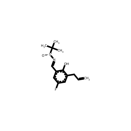 C=CCc1cc(F)cc(C=N[S@+]([O-])C(C)(C)C)c1O